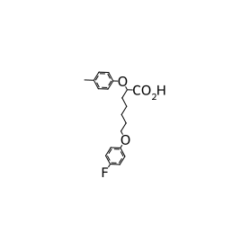 Cc1ccc(OC(CCCCCOc2ccc(F)cc2)C(=O)O)cc1